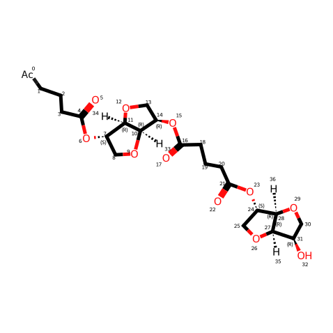 CC(=O)CCCC(=O)O[C@H]1CO[C@H]2[C@@H]1OC[C@H]2OC(=O)CCCC(=O)O[C@H]1CO[C@H]2[C@@H]1OC[C@H]2O